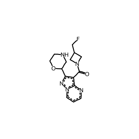 O=C(c1c(C2CNCCO2)nn2cccnc12)N1CC(CF)C1